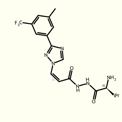 Cc1cc(-c2ncn(/C=C\C(=O)NNC(=O)[C@@H](N)C(C)C)n2)cc(C(F)(F)F)c1